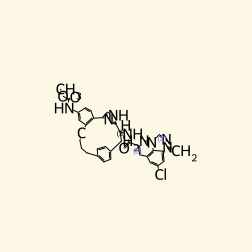 C=N/N=C\N(N)c1ccc(Cl)cc1/C=C/C(=O)N[C@H]1Cc2ccc(cc2)CCCCc2cc(NC(=O)OC)ccc2-c2c[nH]c1n2